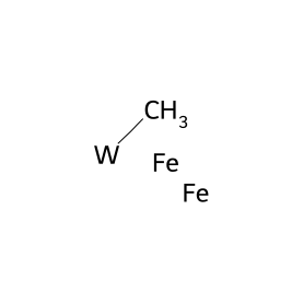 [CH3][W].[Fe].[Fe]